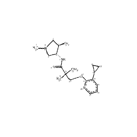 C[C@@H]1CN(C)C[C@H]1NC(=O)C(C)(C)COc1ncccc1C1CC1